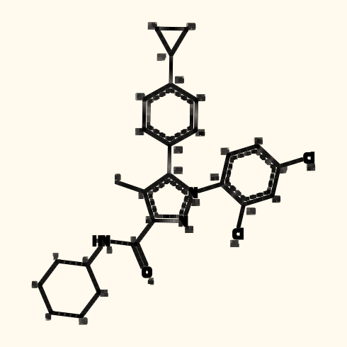 Cc1c(C(=O)NC2CCCCC2)nn(-c2ccc(Cl)cc2Cl)c1-c1ccc(C2CC2)cc1